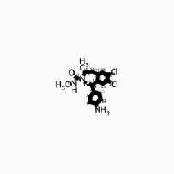 CNC(=O)N1N=C(c2ccc(N)cc2)c2cc(Cl)c(Cl)cc2CC1C